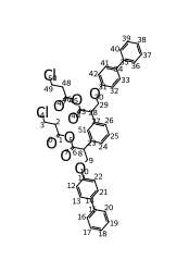 O=C(CCCl)OC(=O)C(COc1ccc(-c2ccccc2)cc1)c1cccc(C(COc2ccc(-c3ccccc3)cc2)C(=O)OC(=O)CCCl)c1